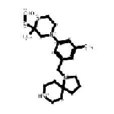 Cc1cc(CN2CCCC23CCNCC3)cc(N2CCOC(C)(OC=O)C2)c1